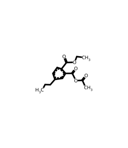 CCCc1ccc(C(=O)OCC)c(C(=O)OC(C)=O)c1